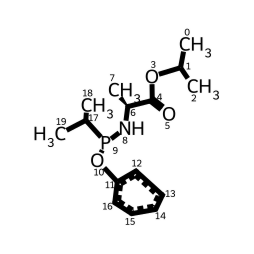 CC(C)OC(=O)[C@H](C)NP(Oc1ccccc1)C(C)C